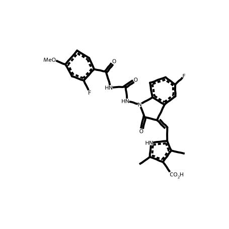 COc1ccc(C(=O)NC(=O)NN2C(=O)C(=Cc3[nH]c(C)c(C(=O)O)c3C)c3cc(F)ccc32)c(F)c1